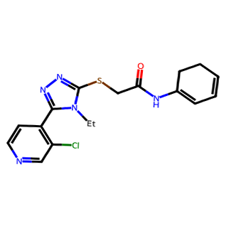 CCn1c(SCC(=O)NC2=CC=CCC2)nnc1-c1ccncc1Cl